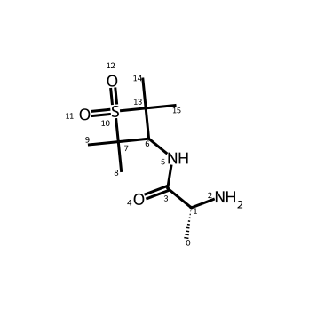 C[C@@H](N)C(=O)NC1C(C)(C)S(=O)(=O)C1(C)C